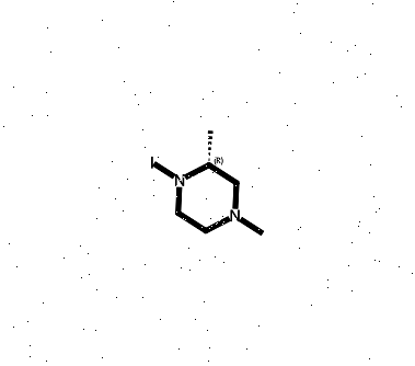 C[C@@H]1CN(C)CCN1I